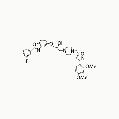 COc1ccc(-c2cc(CN3CCN(C[C@H](O)COc4ccc5oc(-c6cccc(F)c6)nc5c4)CC3)on2)c(OC)c1